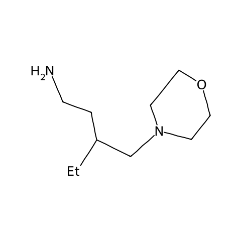 CCC(CCN)CN1CCOCC1